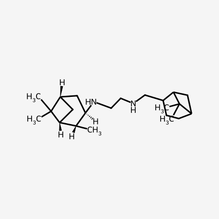 C[C@@H]1[C@H]2C[C@@H](C[C@H]1NCCNCC1CCC3CC1C3(C)C)C2(C)C